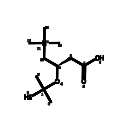 CC(C)(S)O[C@@H](CC(=O)O)C[N+](C)(C)C